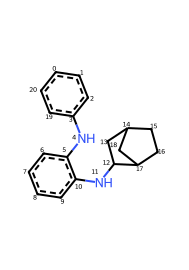 c1ccc(Nc2ccccc2NC2CC3CCC2C3)cc1